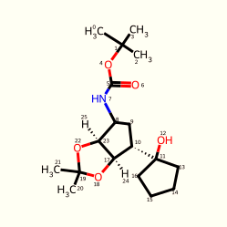 CC(C)(C)OC(=O)NC1C[C@H](C2(O)CCCC2)[C@H]2OC(C)(C)O[C@@H]12